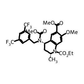 CCOC(=O)N1c2cc(OC)c(C(=O)OC)cc2[C@@H](N(Cc2cc(C(F)(F)F)cc(C(F)(F)F)c2)C(=O)OC)C[C@H]1C